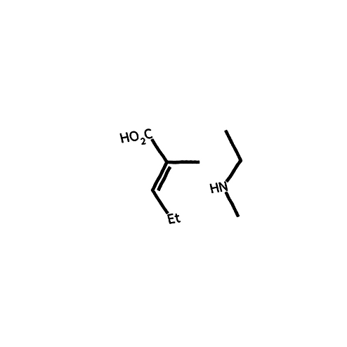 CCC=C(C)C(=O)O.CCNC